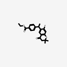 CCOC(=O)c1ccc(C(C)c2cc3c(cc2F)SC(C)(C)CC3=O)cc1